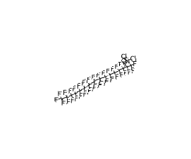 FC(F)(F)C(F)(F)C(F)(F)C(F)(F)C(F)(F)C(F)(F)C(F)(F)C(F)(F)C(F)(F)C(F)(F)C(F)(F)C(F)(F)C(F)(F)C(F)(F)C(F)(F)C(F)(F)[Si](Cl)(Cl)Cl